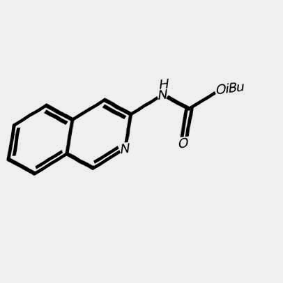 CC(C)COC(=O)Nc1cc2ccccc2cn1